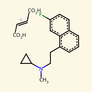 CN(CCc1cccc2ccc(F)cc12)C1CC1.O=C(O)/C=C/C(=O)O